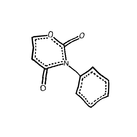 O=c1ccoc(=O)n1-c1ccccc1